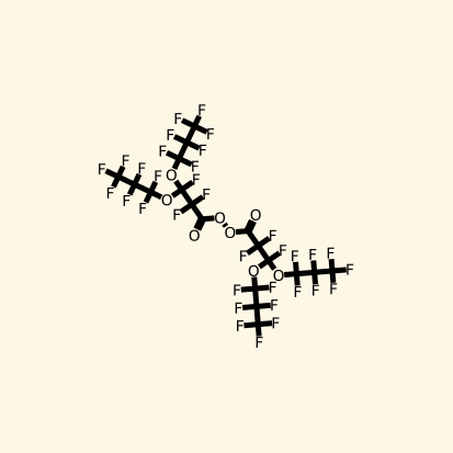 O=C(OOC(=O)C(F)(F)C(F)(OC(F)(F)C(F)(F)C(F)(F)F)OC(F)(F)C(F)(F)C(F)(F)F)C(F)(F)C(F)(OC(F)(F)C(F)(F)C(F)(F)F)OC(F)(F)C(F)(F)C(F)(F)F